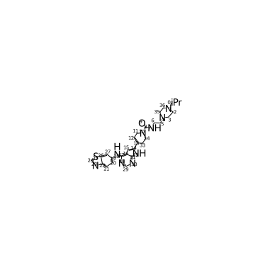 CC(C)N1CCN(CCNC(=O)N2CC=C(c3cc4c(Nc5ccc6ncsc6c5)ncnc4[nH]3)CC2)CC1